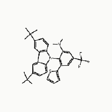 CN(C)c1cc(C(F)(F)F)cc(-c2cccs2)c1-n1c2ccc(C(C)(C)C)cc2c2cc(C(C)(C)C)ccc21